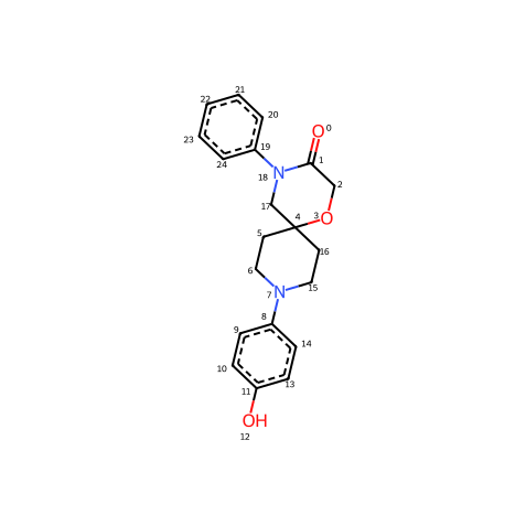 O=C1COC2(CCN(c3ccc(O)cc3)CC2)CN1c1ccccc1